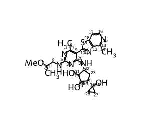 CO[C@H](C)CNc1nc(C)c(-c2nc3c(C)nccc3s2)c(N[C@@H]2C[C@H](C3(O)CC3)[C@@H](O)[C@H]2O)n1